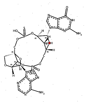 Nc1nc2c(ncn2[C@@H]2S[C@@H]3COP(=O)(O)O[C@H]4[C@H]5OC[C@]4(COP(O)(=S)O[C@@H]2[C@@H]3O)O[C@H]5n2cnc3c(N)ncnc32)c(=O)[nH]1